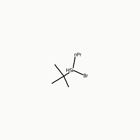 CCC[SiH](Br)C(C)(C)C